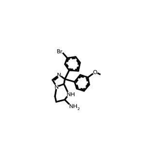 COc1cccc(C2(c3cccc(Br)c3)N=CN3CCC(N)NC32)c1